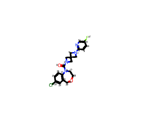 O=C(N1CC2(C1)CN(c1ccc(F)cn1)C2)N1CCOCc2cc(Cl)ccc21